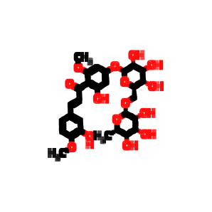 COc1ccc(/C=C/C(=O)c2c(O)cc(O[C@@H]3O[C@H](CO[C@H]4O[C@@H](C)[C@H](O)[C@@H](O)[C@H]4O)[C@@H](O)[C@H](O)[C@H]3O)cc2OC)cc1O